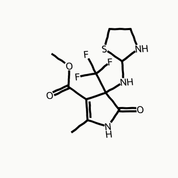 COC(=O)C1=C(C)NC(=O)C1(NC1NCCS1)C(F)(F)F